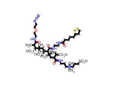 CC(C(=O)NCCOCCN=[N+]=[N-])C(C(=O)O)C(C)(C)CC(C(=O)O)C(C(=O)NCCNC(=O)CCCCC1CCSS1)C(C)(C)CC(C(=O)NCCC[N+](C)(C)CCCS(=O)(=O)O)C(C(=O)O)C(C)(C)C